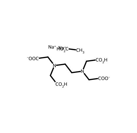 CC(=O)O.O=C([O-])CN(CCN(CC(=O)[O-])CC(=O)O)CC(=O)O.[Na+].[Na+]